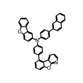 c1ccc2cc(-c3ccc(N(c4ccc(-c5cccc6oc7ncccc7c56)cc4)c4ccc5oc6ccccc6c5c4)cc3)ccc2c1